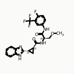 COC[C@@H](NC(=O)[C@H]1C[C@@H]1c1nc2ccccc2[nH]1)C(=O)Nc1ccc(F)c(C(F)(F)F)c1